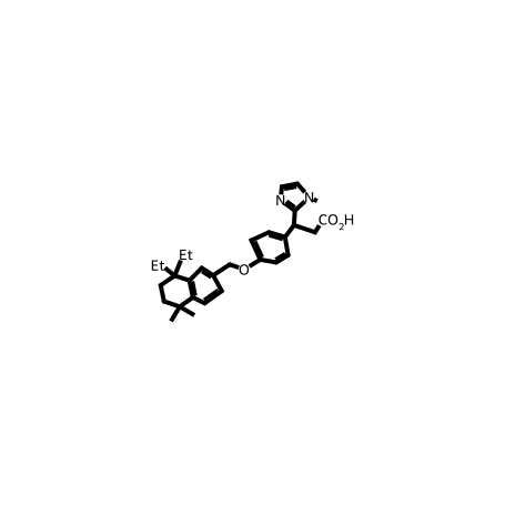 CCC1(CC)CCC(C)(C)c2ccc(COc3ccc(C(CC(=O)O)c4nccn4C)cc3)cc21